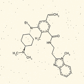 C=Cc1cc(C(=O)NCCc2nc3ccccc3n2C)c(C)c(N(CC)[C@H]2CC[C@H](N(C)C)CC2)c1